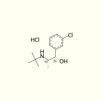 C[C@H](NC(C)(C)C)[C@@H](O)c1cccc(Cl)c1.Cl